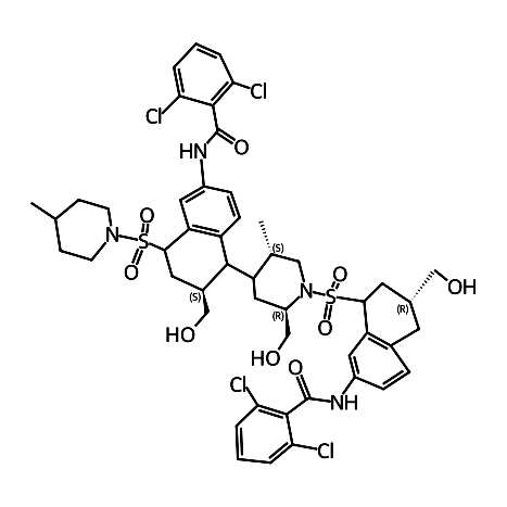 CC1CCN(S(=O)(=O)C2C[C@H](CO)C(C3C[C@H](CO)N(S(=O)(=O)C4C[C@H](CO)Cc5ccc(NC(=O)c6c(Cl)cccc6Cl)cc54)C[C@H]3C)c3ccc(NC(=O)c4c(Cl)cccc4Cl)cc32)CC1